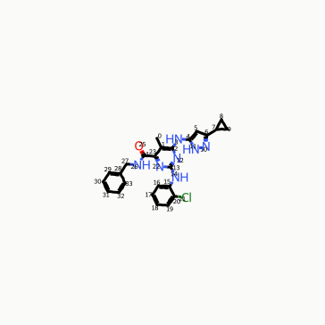 Cc1c(Nc2cc(C3CC3)n[nH]2)nc(Nc2ccccc2Cl)nc1C(=O)NCc1ccccc1